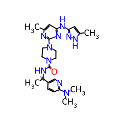 Cc1cc(Nc2cc(C)[nH]n2)nc(N2CCN(C(=O)N[C@H](C)c3ccc(N(C)C)nc3)CC2)n1